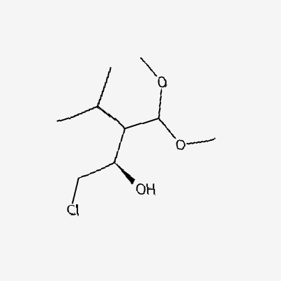 COC(OC)C(C(C)C)[C@@H](O)CCl